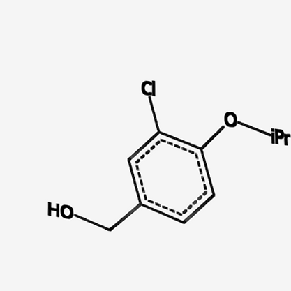 CC(C)Oc1ccc(CO)cc1Cl